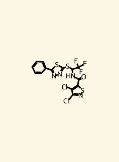 O=C(NC(Sc1nnc(-c2ccccc2)s1)C(F)(F)F)c1snc(Cl)c1Cl